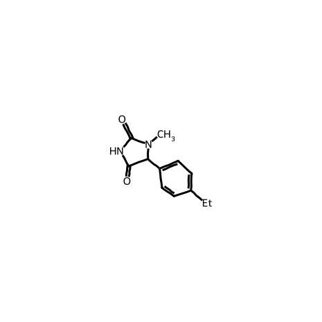 CCc1ccc(C2C(=O)NC(=O)N2C)cc1